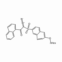 CCCCCCOc1ccc2cc(S(=O)(=O)C(=[N+]=[N-])C(=O)c3cccc4ccccc34)ccc2c1